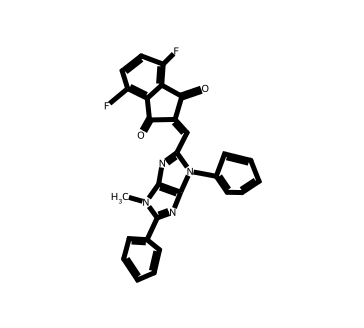 Cn1c(-c2ccccc2)nc2c1nc(C=C1C(=O)c3c(F)ccc(F)c3C1=O)n2-c1ccccc1